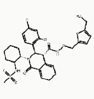 CS(=O)(=O)N[C@H]1CCCC[C@@H]1N1C(=O)C2=CCCC=C2[C@@H](C(=O)NOCc2ccc(CO)s2)[C@@H]1c1ccc(Cl)cc1Cl